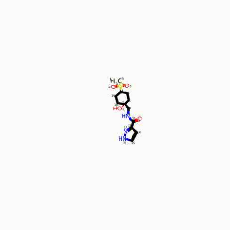 CS(=O)(=O)[C@H]1CC[C@](O)(CNC(=O)c2cc[nH]n2)CC1